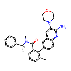 Cc1cccc(C(=O)N(C)[C@H](C)c2ccccc2)c1-c1ccc2nc(N)c(N3CCOCC3)cc2c1